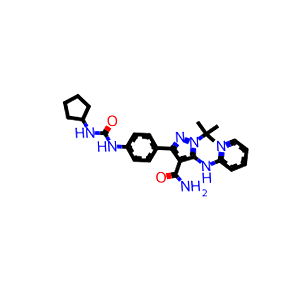 CC(C)(C)n1nc(-c2ccc(NC(=O)NC3CCCC3)cc2)c(C(N)=O)c1Nc1ccccn1